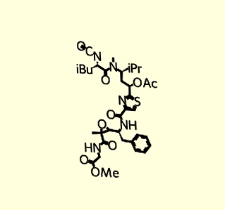 CC[C@H](C)[C@H](N=C=O)C(=O)N(C)[C@H](C[C@@H](OC(C)=O)c1nc(C(=O)N[C@@H](Cc2ccccc2)C2OC2(C)C(=O)NCC(=O)OC)cs1)C(C)C